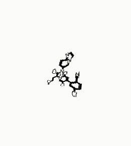 COCCC(C(=O)Nc1ccc2nccn2c1)n1cc(Cl)c(-c2cc(Cl)ccc2C#N)cc1=O